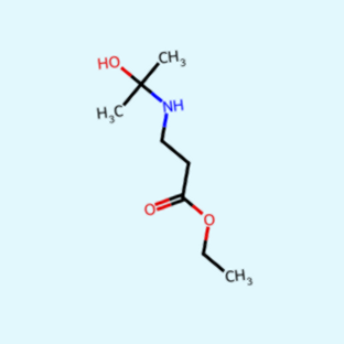 CCOC(=O)CCNC(C)(C)O